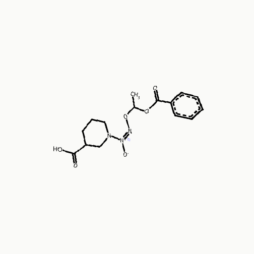 CC(O/N=[N+](/[O-])N1CCCC(C(=O)O)C1)OC(=O)c1ccccc1